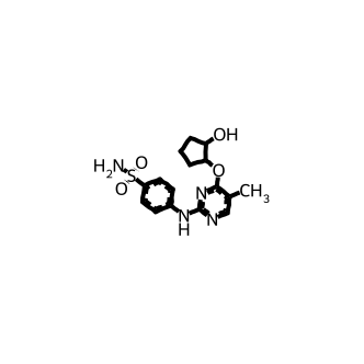 Cc1cnc(Nc2ccc(S(N)(=O)=O)cc2)nc1OC1CCCC1O